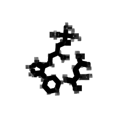 CC(C)(C)NC[C@H](O)COc1nsnc1N1CCOCC1.Cl.O=C(O)C=CC(=O)O